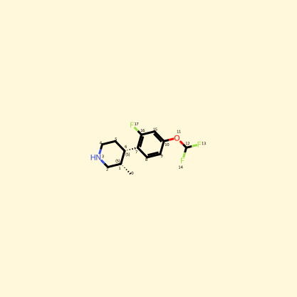 C[C@@H]1CNCC[C@@H]1c1ccc(OC(F)F)cc1F